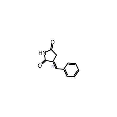 O=C1C/C(=C\c2ccccc2)C(=O)N1